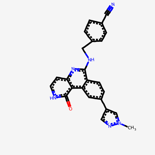 Cn1cc(-c2ccc3c(NCc4ccc(C#N)cc4)nc4cc[nH]c(=O)c4c3c2)cn1